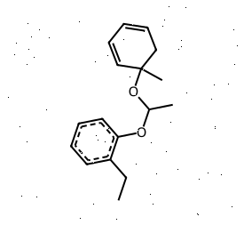 CCc1ccccc1OC(C)OC1(C)C=CC=CC1